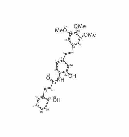 COc1cc(/C=C/c2ccc(NC(=O)/C=C/c3ccccc3O)c(O)c2)cc(OC)c1OC